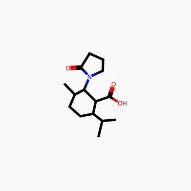 CC(C)C1CCC(C)C(N2CCCC2=O)C1C(=O)O